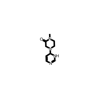 CN1CCN(C2C=CN=[C]N2)CC1=O